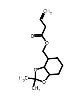 C=CCC(=O)OCC1CCCC2OC(C)(C)OC12